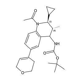 CC(=O)N1c2ccc(C3=CCOCC3)cc2C(NC(=O)OC(C)(C)C)[C@@H](C)[C@@H]1C1CC1